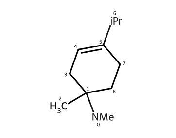 CNC1(C)CC=C(C(C)C)CC1